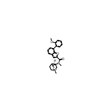 COc1ccccc1-c1cccc2cc(C(=O)N(C)[C@H]3C[N+]4(C)CCC3CC4)oc12